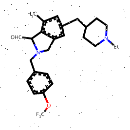 CCN1CCC(Cc2cc(C)c3c(c2)CN(Cc2ccc(OC(F)(F)F)cc2)C3C=O)CC1